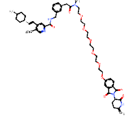 C=C1CCC(N2C(=O)c3ccc(OCCOCCOCCOCCOCCOCCN(C)C(=O)Cc4cccc(CNC(=O)c5cc(/C=C/[C@H]6CC[C@H](C(F)(F)F)CC6)c(OC)cn5)c4)cc3C2=O)C(=O)N1